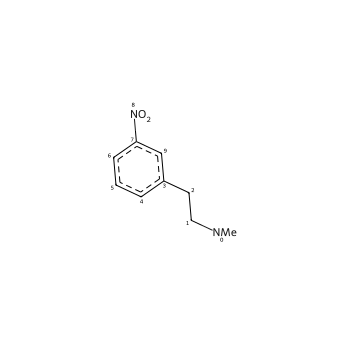 CNCCc1cccc([N+](=O)[O-])c1